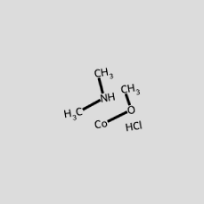 CNC.C[O][Co].Cl